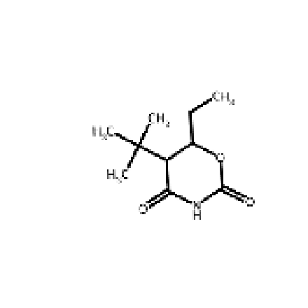 CCC1OC(=O)NC(=O)C1C(C)(C)C